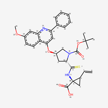 C=CC1C[C@]1(NC(=S)[C@@H]1C[C@@H](Oc2cc(-c3ccccc3)nc3cc(OC)ccc23)CN1C(=O)OC(C)(C)C)C(=O)O